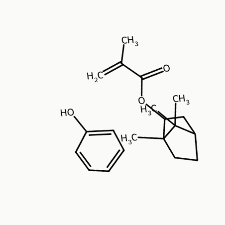 C=C(C)C(=O)OC1CC2CCC1(C)C2(C)C.Oc1ccccc1